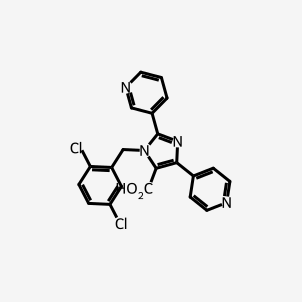 O=C(O)c1c(-c2ccncc2)nc(-c2cccnc2)n1Cc1cc(Cl)ccc1Cl